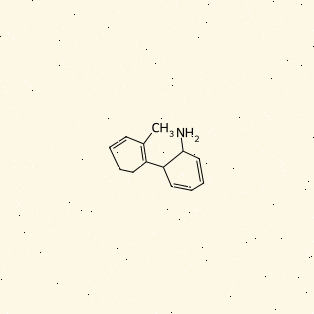 CC1=C(C2C=CC=CC2N)CCC=C1